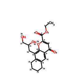 CCOC(=O)c1cc(=O)c2cc3c(c(CC(O)CO)c2o1)CCCC3